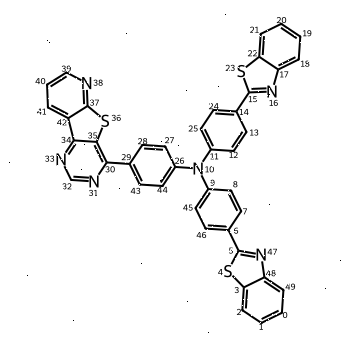 c1ccc2sc(-c3ccc(N(c4ccc(-c5nc6ccccc6s5)cc4)c4ccc(-c5ncnc6c5sc5ncccc56)cc4)cc3)nc2c1